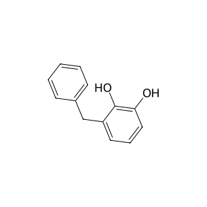 Oc1cccc(Cc2ccccc2)c1O